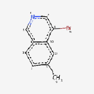 Cc1ccc2cncc(Br)c2c1